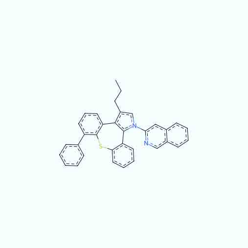 CCCc1cn(-c2cc3ccccc3cn2)c2c1-c1cccc(-c3ccccc3)c1Sc1ccccc1-2